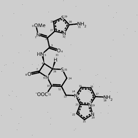 CON=C(C(=O)N[C@@H]1C(=O)N2C(C(=O)[O-])=C(C[n+]3ccc(N)n4nccc43)CS[C@@H]12)c1csc(N)n1